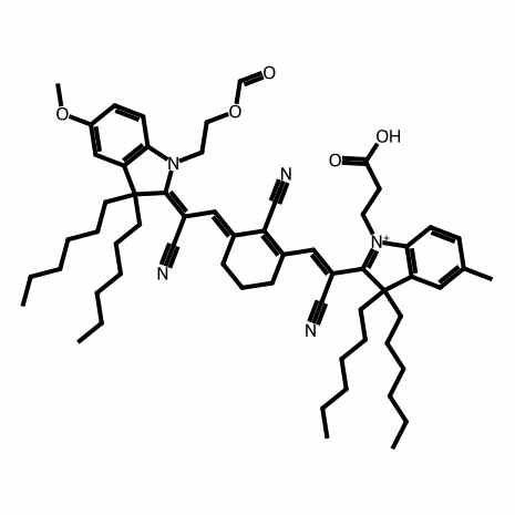 CCCCCCC1(CCCCCC)C(/C(C#N)=C/C2=C(C#N)C(=C/C(C#N)=C3\N(CCOC=O)c4ccc(OC)cc4C3(CCCCCC)CCCCCC)/CCC2)=[N+](CCC(=O)O)c2ccc(C)cc21